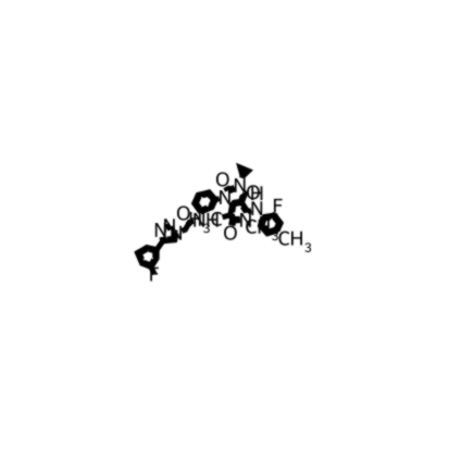 Cc1ccc(Nc2c3c(=O)n(C4CC4)c(=O)n(-c4cccc(NC(=O)Cn5cc(-c6cccc(F)c6)nn5)c4)c3c(C)c(=O)n2C)c(F)c1